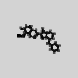 [CH2]n1c([S+]([O-])Cc2ncc(C)c(OC)c2C)nc2c(Cc3ccccc3)cccc21